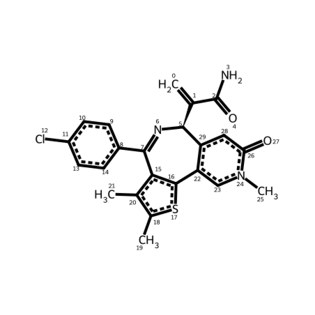 C=C(C(N)=O)[C@@H]1N=C(c2ccc(Cl)cc2)c2c(sc(C)c2C)-c2cn(C)c(=O)cc21